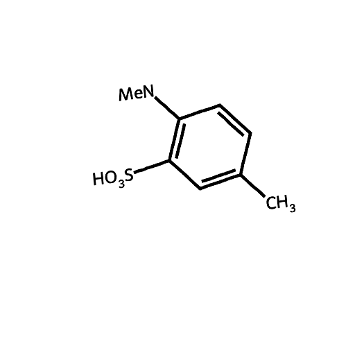 CNc1ccc(C)cc1S(=O)(=O)O